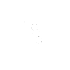 O=[N+]([O-])c1ccc(Sc2ccc(Cl)cc2Cl)c(C(F)(F)F)c1